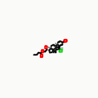 CCCC(=O)OCC(=O)[C@H]1CC[C@H]2[C@@H]3C[C@](C)(Cl)C4=CC(=O)C=C[C@]4(C)C3=CC[C@]12C